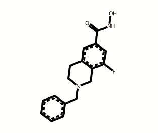 O=C(NO)c1cc(F)c2c(c1)CCN(Cc1ccccc1)C2